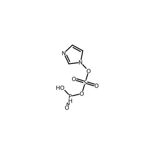 O=[PH](O)OS(=O)(=O)On1ccnc1